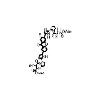 COC(=O)N[C@H](C(=O)N1CCC[C@H]1c1ncc(-c2ccc3oc4cc(-c5cnc([C@@H]6CCCN6C(=O)[C@@H](NC(=O)OC)C(C)C)[nH]5)c(F)cc4c(=O)c3c2)[nH]1)C(C)C